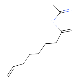 C=CCCCCCC(=C)NC(C)=N